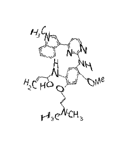 C=CC(O)Nc1cc(Nc2nccc(-c3cn(C)c4ccccc34)n2)c(OC)cc1OCCN(C)C